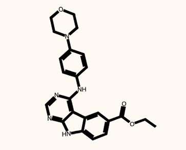 CCOC(=O)c1ccc2[nH]c3ncnc(Nc4ccc(N5CCOCC5)cc4)c3c2c1